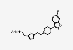 CC(=O)NCCc1ccc(CCN2CCC(c3noc4cc(F)ccc34)CC2)s1